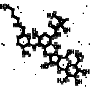 NCCCNCC1=CC[C@@H](N)[C@@H](O[C@H]2[C@H](O[C@@H]3O[C@H](CO)[C@@H](O[C@H]4O[C@@H](CN)[C@@H](O)[C@H](O)[C@H]4N)[C@H]3O)[C@@H](O)[C@H](NC(=O)C3(O)CC3N)C[C@@H]2N)O1